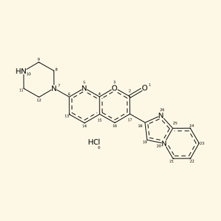 Cl.O=c1oc2nc(N3CCNCC3)ccc2cc1-c1cn2ccccc2n1